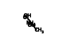 CCCCCCCCCCCCCC=CC=CC=CC(=O)O.NCCO